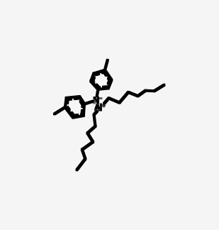 CCCCCC[CH2][Al+][CH2]CCCCCC.Cc1ccc([N-]c2ccc(C)cc2)cc1